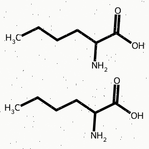 CCCCC(N)C(=O)O.CCCCC(N)C(=O)O